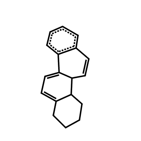 C1=CC2C(=CC=C3CCCCC32)c2ccccc21